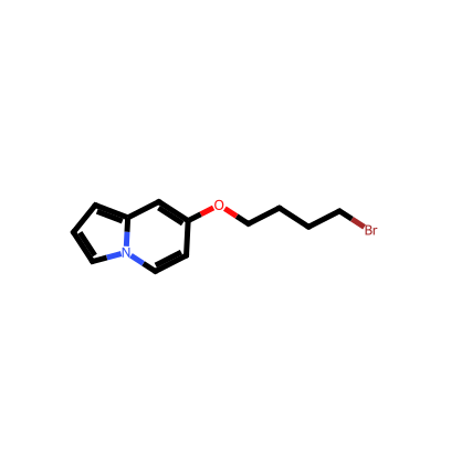 BrCCCCOc1ccn2cccc2c1